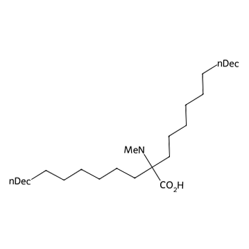 CCCCCCCCCCCCCCCCC(CCCCCCCCCCCCCCCC)(NC)C(=O)O